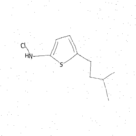 CC(C)CCc1ccc(NCl)s1